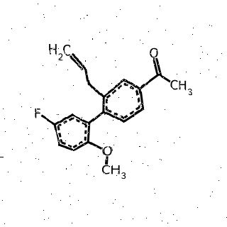 C=CCc1cc(C(C)=O)ccc1-c1cc(F)ccc1OC